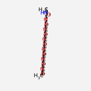 CCNC(=O)CCOCCOCCOCCOCCOCCOCCOCCOCCOCCOCCOCCOC